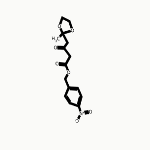 CC1(CC(=O)CC(=O)OCc2ccc([N+](=O)[O-])cc2)OCCO1